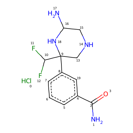 Cl.NC(=O)c1cccc(C2(C(F)F)CNCC(N)N2)c1